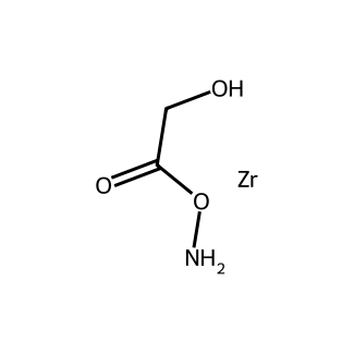 NOC(=O)CO.[Zr]